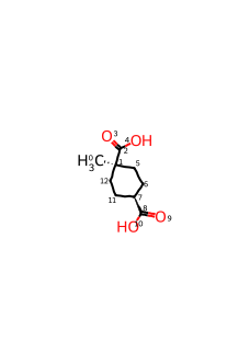 C[C@]1(C(=O)O)CC[C@@H](C(=O)O)CC1